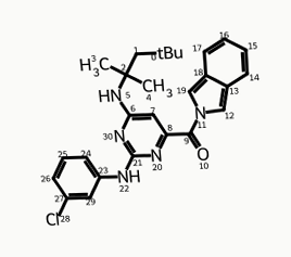 CC(C)(C)CC(C)(C)Nc1cc(C(=O)n2cc3ccccc3c2)nc(Nc2cccc(Cl)c2)n1